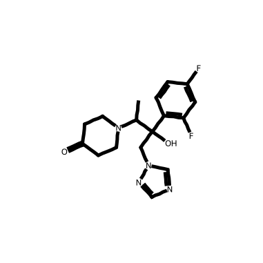 CC(N1CCC(=O)CC1)C(O)(Cn1cncn1)c1ccc(F)cc1F